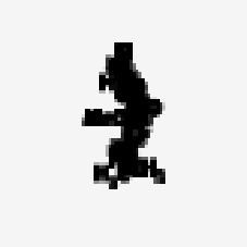 COC[C@H]1CN(S(=O)(=O)c2cc3cc(Cl)ccc3[nH]2)CC(=O)N1CC1CCN(c2ccnc(N(C)C)n2)CC1